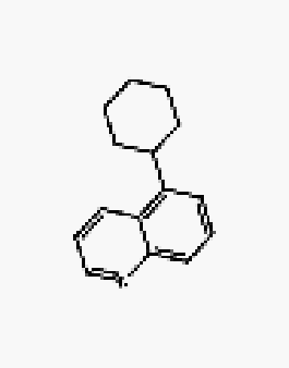 c1cc([C]2CCCCC2)c2cccnc2c1